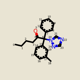 CCCCC(=O)C(c1ccccc1)(c1cccc(C)c1)n1cncn1